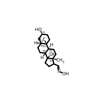 C[C@]12CC[C@H](O)C[C@H]1CC[C@@H]1[C@@H]2CC[C@]2(C)C(C=NO)CC[C@]12O